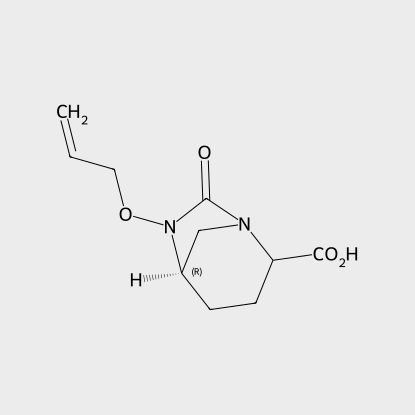 C=CCON1C(=O)N2C[C@H]1CCC2C(=O)O